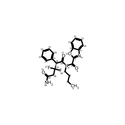 CCCCN(C(=O)c1nc2ccccc2o1)C(=O)[C@H](c1ccccc1)C(F)(F)CC(N)=O